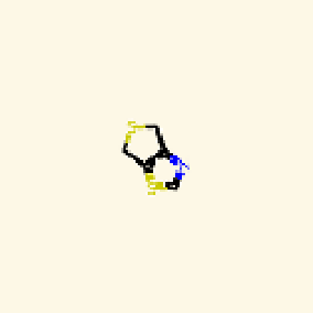 c1nc2c(s1)CSC2